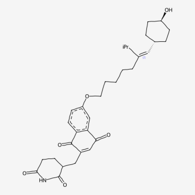 CC(C)/C(=C\[C@H]1CC[C@H](O)CC1)CCCCCOc1ccc2c(c1)C(=O)C=C(CC1CCC(=O)NC1=O)C2=O